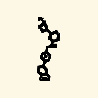 COc1ccc(C23CCC(CNc4cncc(-c5cnn(C(C)C)c5)n4)(CC2)CC3)cc1C